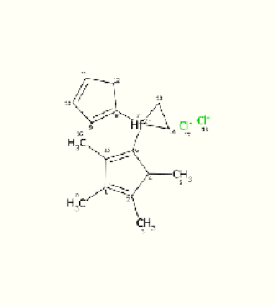 CC1=C(C)C(C)[C]([Hf+2]2([C]3=CC=CC3)[CH2][CH2]2)=C1C.[Cl-].[Cl-]